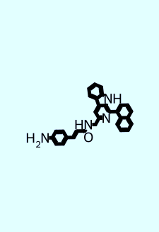 Nc1ccc(/C=C/C(=O)NCc2cc3c([nH]c4ccccc43)c(-c3cccc4ccccc34)n2)cc1